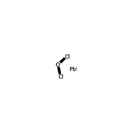 ClOCl.[Pb]